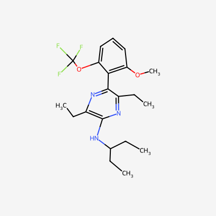 CCc1nc(-c2c(OC)cccc2OC(F)(F)F)c(CC)nc1NC(CC)CC